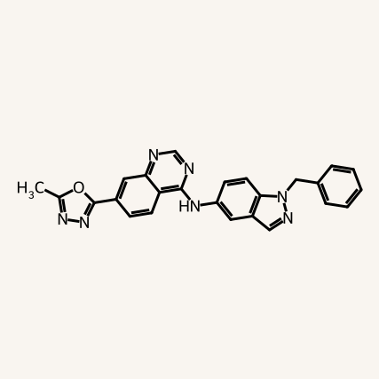 Cc1nnc(-c2ccc3c(Nc4ccc5c(cnn5Cc5ccccc5)c4)ncnc3c2)o1